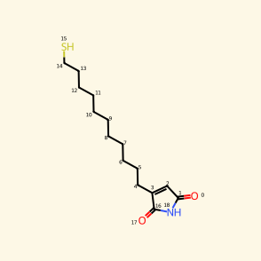 O=C1C=C(CCCCCCCCCCCS)C(=O)N1